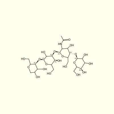 CC(=O)NC1C(O)[C@H](O[C@@H]2OC(CO)[C@H](O)C(O)C2O)C(CO)O[C@H]1O[C@@H]1C(O)[C@H](O[C@@H]2C(CO)OCC(O)C2O)OC(CO)[C@@H]1O